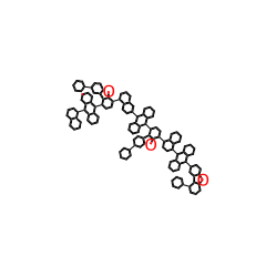 c1ccc(-c2ccc3c(c2)oc2c(-c4ccc(-c5c6ccccc6c(-c6ccc7oc8cccc(-c9ccccc9)c8c7c6)c6ccccc56)c5ccccc45)ccc(-c4c5ccccc5c(-c5ccc6c(-c7ccc(-c8c9ccccc9c(-c9cccc%10ccccc9%10)c9ccccc89)c8c7oc7ccc(-c9ccccc9)cc78)cccc6c5)c5ccccc45)c23)cc1